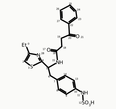 CCc1csc(C(Cc2[c]cc(NS(=O)(=O)O)cc2)NC(=O)CCC(=O)c2ccccc2)n1